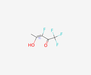 C/C(O)=C(\F)C(=O)C(F)(F)F